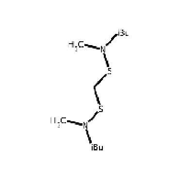 CCC(C)N(C)SCSN(C)C(C)CC